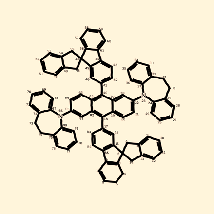 C1=CC2=C(CC1)C1(Cc3ccccc3C1)c1cc(-c3c4ccc(N5c6ccccc6CCc6ccccc65)cc4c(-c4ccc5c(c4)C4(Cc6ccccc6C4)c4ccccc4-5)c4ccc(N5c6ccccc6CCc6ccccc65)cc34)ccc12